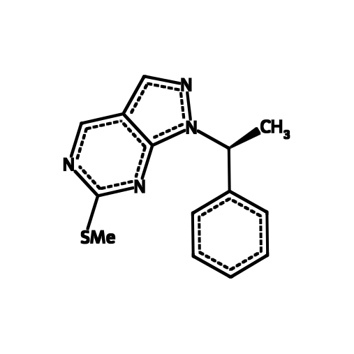 CSc1ncc2cnn([C@@H](C)c3ccccc3)c2n1